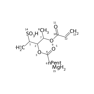 [CH2]C(C(OC(=O)CCCCC)C(C)OC(=O)C=C)S(=O)(=O)O.[MgH2]